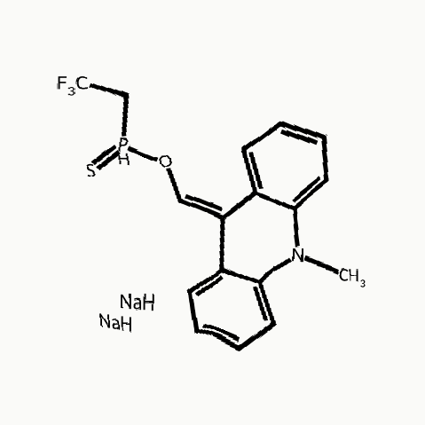 CN1c2ccccc2C(=CO[PH](=S)CC(F)(F)F)c2ccccc21.[NaH].[NaH]